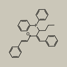 CCCC(C(=Cc1ccccc1)C(=O)C=Cc1ccccc1)P(c1ccccc1)c1ccccc1